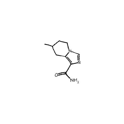 CC1CCn2cnc(C(N)=O)c2C1